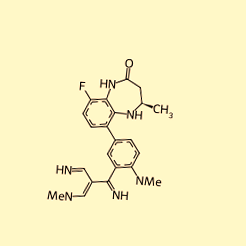 CN/C=C(\C=N)C(=N)c1cc(-c2ccc(F)c3c2N[C@H](C)CC(=O)N3)ccc1NC